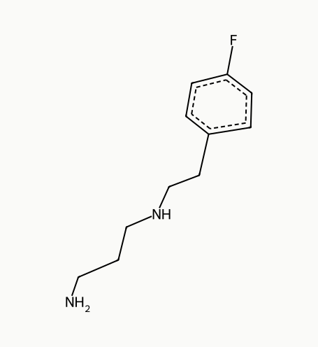 NCCCNCCc1ccc(F)cc1